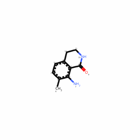 Cc1ccc2c(c1N)C(=O)NCC2